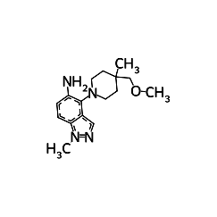 COCC1(C)CCN(c2c(N)ccc3c2cnn3C)CC1